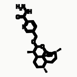 C[C@H]1C(OCc2ccc(C(=O)NN)nc2)OC2O[C@]3(C)CCC4[C@H](C)CCC1[C@@]24OO3